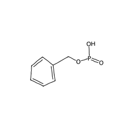 O=[P](O)OCc1ccccc1